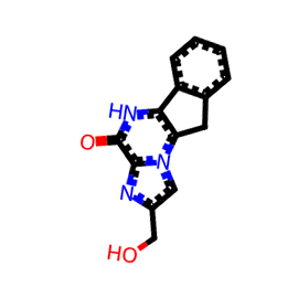 O=c1[nH]c2c(n3cc(CO)nc13)Cc1ccccc1-2